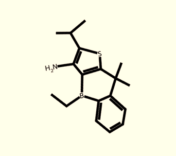 CCB1c2ccccc2C(C)(C)c2sc(C(C)C)c(N)c21